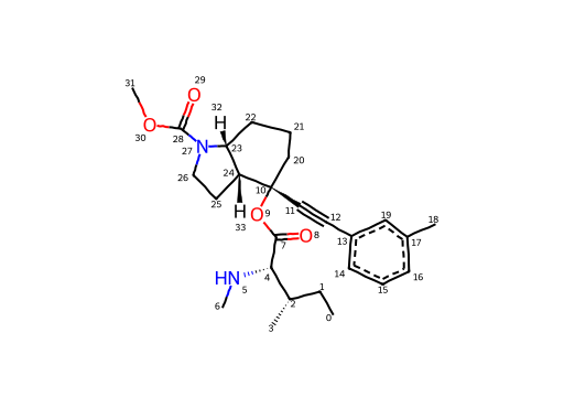 CC[C@H](C)[C@H](NC)C(=O)O[C@@]1(C#Cc2cccc(C)c2)CCC[C@@H]2[C@H]1CCN2C(=O)OC